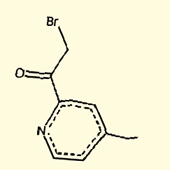 Cc1ccnc(C(=O)CBr)c1